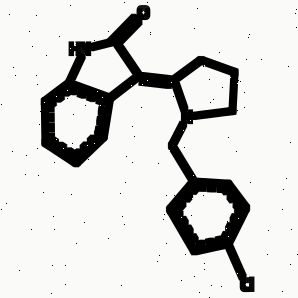 O=C1Nc2ccccc2/C1=C1/CCCN1Cc1ccc(Cl)cc1